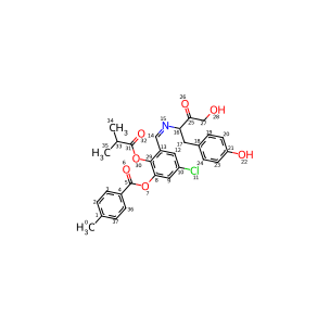 Cc1ccc(C(=O)Oc2cc(Cl)cc(/C=N\C(Cc3ccc(O)cc3)C(=O)CO)c2OC(=O)C(C)C)cc1